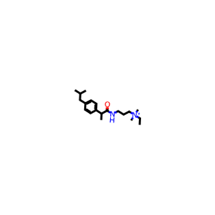 CC[N+](C)(C)CCCNC(=O)C(C)c1ccc(CC(C)C)cc1